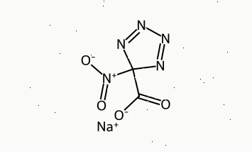 O=C([O-])C1([N+](=O)[O-])N=NN=N1.[Na+]